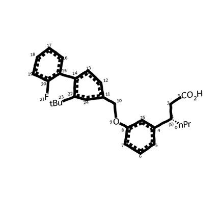 CCC[C@@H](CC(=O)O)c1cccc(OCc2ccc(-c3ccccc3F)c(C(C)(C)C)c2)c1